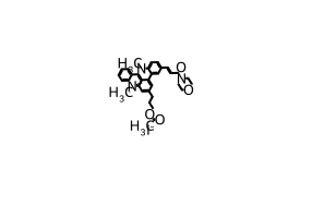 CC(=O)OCCCc1cc2c3c(c4ccccc4[n+](C)c3c1)N(C)c1ccc(C=CC(=O)N3CCOCC3)cc1-2.[I-]